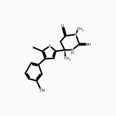 CN1C(=N)N[C@](C)(c2cc(-c3cccc(C#N)c3)c(I)s2)CC1=O